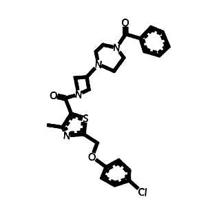 Cc1nc(COc2ccc(Cl)cc2)sc1C(=O)N1CC(N2CCN(C(=O)c3ccccc3)CC2)C1